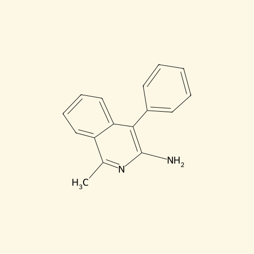 Cc1nc(N)c(-c2ccccc2)c2ccccc12